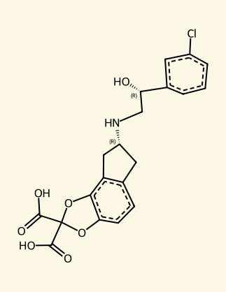 O=C(O)C1(C(=O)O)Oc2ccc3c(c2O1)C[C@H](NC[C@H](O)c1cccc(Cl)c1)C3